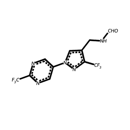 O=CNCc1cn(-c2cnc(C(F)(F)F)nc2)nc1C(F)(F)F